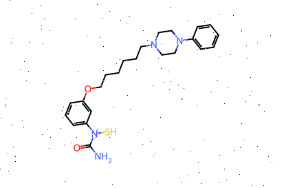 NC(=O)N(S)c1cccc(OCCCCCCN2CCN(c3ccccc3)CC2)c1